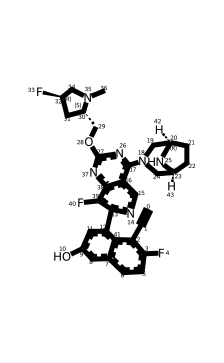 C#Cc1c(F)ccc2cc(O)cc(-c3ncc4c(N5C[C@H]6CC[C@@H](C5)N6)nc(OC[C@@H]5C[C@@H](F)CN5C)nc4c3F)c12